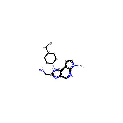 Cn1ccc2c1ncc1nc(CN)n([C@H]3CC[C@H](CC#N)CC3)c12